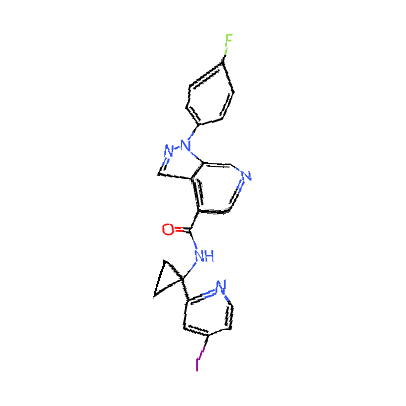 O=C(NC1(c2cc(I)ccn2)CC1)c1cncc2c1cnn2-c1ccc(F)cc1